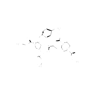 COc1ccc(C[C@@H]2[C@H](OC(=O)CC[C@H]3CN(C(=O)OC(C)(C)C)CCN3C(=O)OC(C)(C)C)[C@@H](OC(=O)OC(C)(C)C)CN2C(=O)OC(C)(C)C)cc1